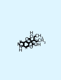 CCC(CC)C(C(=O)O)(C(=O)O)c1ccc2[nH]ncc2c1